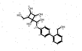 OCc1ccccc1-c1ccc(OC(O)C2(O)C(O)C(O)C2CO)cc1